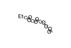 C=CC(=O)OCCOCCOc1ccc(C(=O)Oc2ccc(OC(=O)c3ccc(CC)cc3)cc2)cc1